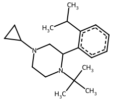 CC(C)c1ccccc1C1CN(C2CC2)CCN1C(C)(C)C